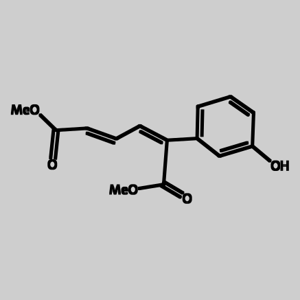 COC(=O)C=CC=C(C(=O)OC)c1cccc(O)c1